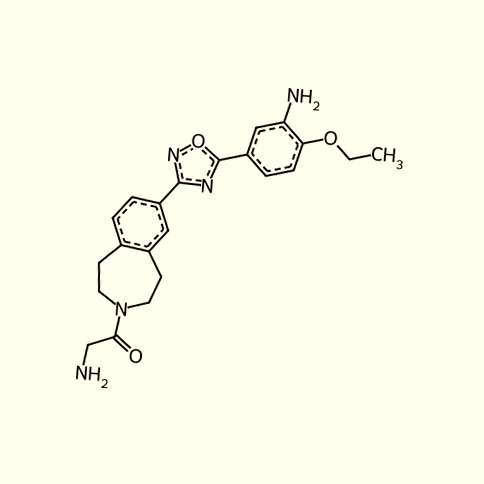 CCOc1ccc(-c2nc(-c3ccc4c(c3)CCN(C(=O)CN)CC4)no2)cc1N